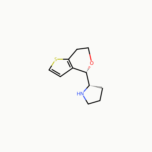 c1cc2c(s1)CCO[C@@H]2[C@@H]1CCCN1